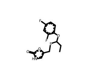 CCC(Oc1ccc(F)cc1F)SCc1c[nH]c(=O)o1